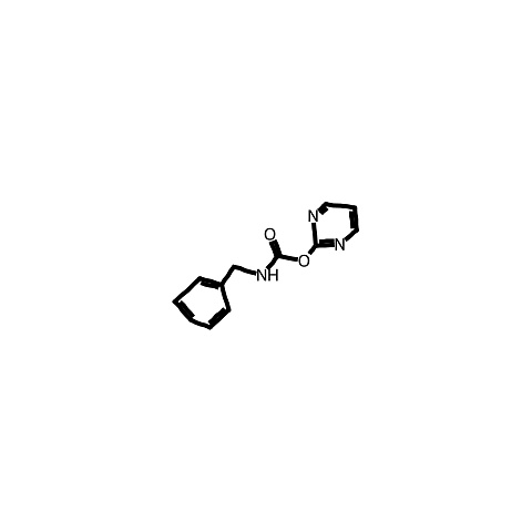 O=C(NCc1ccccc1)Oc1ncccn1